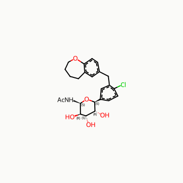 CC(=O)N[C@H]1O[C@@H](c2ccc(Cl)c(Cc3ccc4c(c3)CCCCO4)c2)[C@H](O)[C@H](O)[C@H]1O